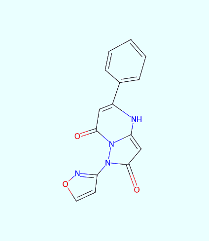 O=c1cc2[nH]c(-c3ccccc3)cc(=O)n2n1-c1ccon1